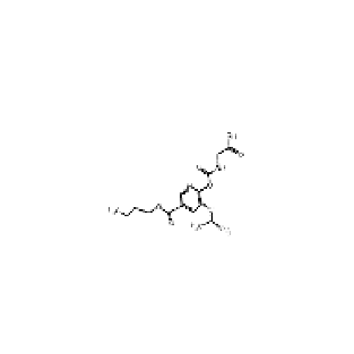 CCCCOC(=O)c1cnc(OC(=O)NCC(=O)O)c(OC(C)C)c1